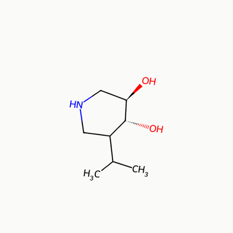 CC(C)C1CNC[C@@H](O)[C@@H]1O